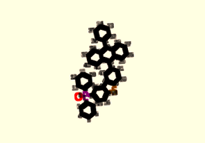 O=P(c1ccccc1)(c1ccccc1)c1ccc2sc3ccc(-c4c5ccccc5c(-c5ccccc5)c5ccccc45)cc3c2c1